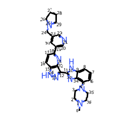 CN1CCN(c2cccc3[nH]c(-c4n[nH]c5ccc(-c6cncc(CN7CCCC7)c6)nc45)nc23)CC1